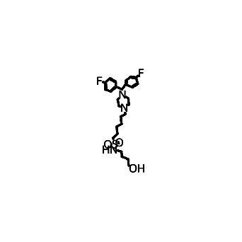 O=S(=O)(CCCCCCN1CCN(C(c2ccc(F)cc2)c2ccc(F)cc2)CC1)NCCCCO